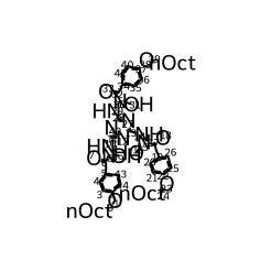 CCCCCCCCOc1ccc(C(=O)N(O)Nc2nc(NN(O)C(=O)c3ccc(OCCCCCCCC)cc3)nc(NN(O)C(=O)c3ccc(OCCCCCCCC)cc3)n2)cc1